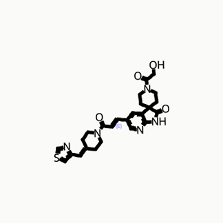 O=C(/C=C/c1cnc2c(c1)C1(CCN(C(=O)CO)CC1)C(=O)N2)N1CCC(=Cc2cscn2)CC1